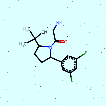 CC(C)(C#N)C1CCC(c2cc(F)cc(F)c2)N1C(=O)CN